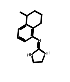 CC1CCCc2c(N=C3NCCN3)cccc21